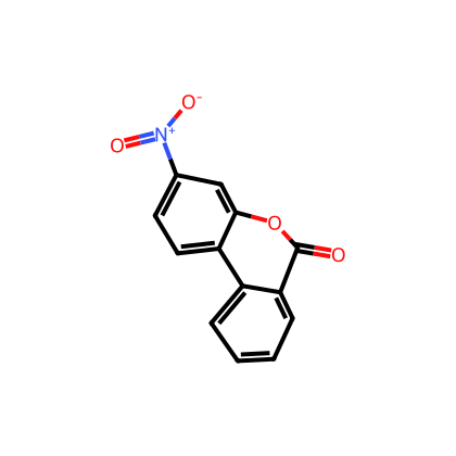 O=c1oc2cc([N+](=O)[O-])ccc2c2ccccc12